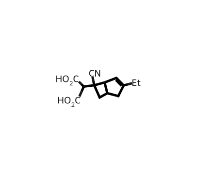 CCC1=CC2C(C1)CC2(C#N)C(C(=O)O)C(=O)O